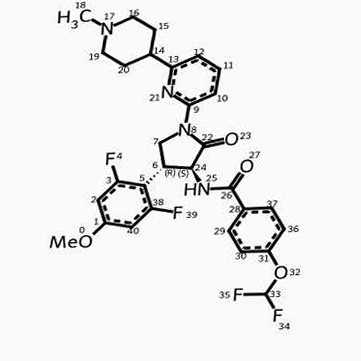 COc1cc(F)c([C@@H]2CN(c3cccc(C4CCN(C)CC4)n3)C(=O)[C@H]2NC(=O)c2ccc(OC(F)F)cc2)c(F)c1